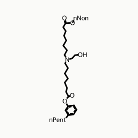 CCCCCCCCCOC(=O)CCCCCCCN(CCO)CCCCCCCC(=O)Oc1cccc(CCCCC)c1